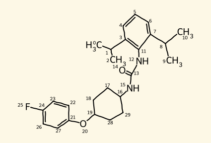 CC(C)c1cccc(C(C)C)c1NC(=O)NC1CCC(Oc2ccc(F)cc2)CC1